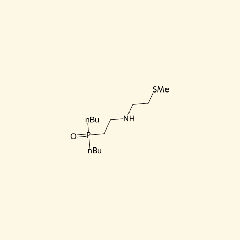 CCCCP(=O)(CCCC)CCNCCSC